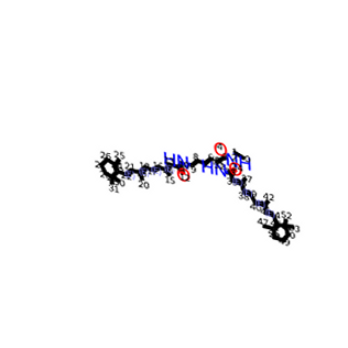 CCNC(=O)[C@H](CCCCNC(=O)/C=C(C)/C=C/C=C(C)/C=C/C1=C(C)CCCC1(C)C)NC(=O)/C=C(C)/C=C/C=C(C)/C=C/C1=C(C)CCCC1(C)C